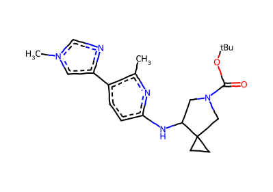 Cc1nc(NC2CN(C(=O)OC(C)(C)C)CC23CC3)ccc1-c1cn(C)cn1